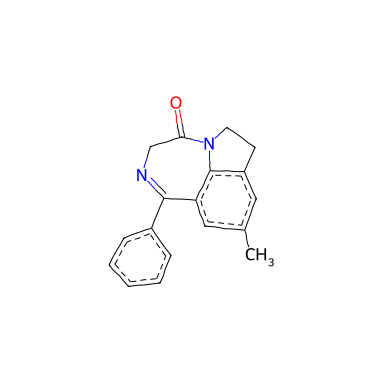 Cc1cc2c3c(c1)C(c1ccccc1)=NCC(=O)N3CC2